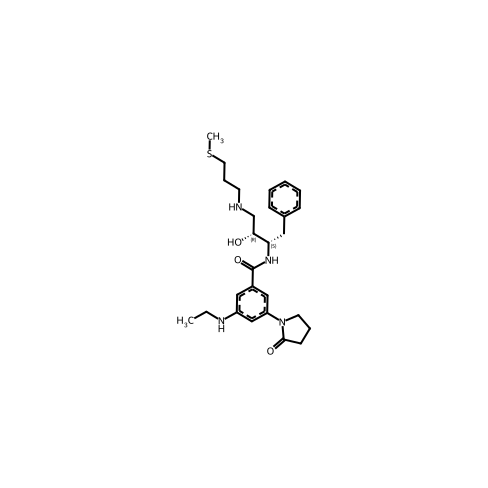 CCNc1cc(C(=O)N[C@@H](Cc2ccccc2)[C@H](O)CNCCCSC)cc(N2CCCC2=O)c1